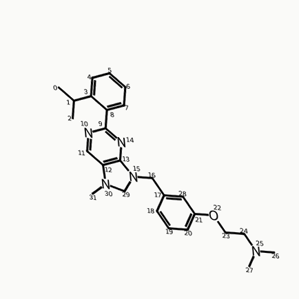 CC(C)c1ccccc1-c1ncc2c(n1)N(Cc1cccc(OCCN(C)C)c1)CN2C